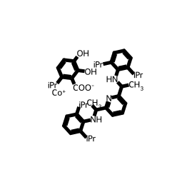 CC(C)c1ccc(O)c(O)c1C(=O)[O-].CC(C)c1cccc(C(C)C)c1NC(C)c1cccc(C(C)Nc2c(C(C)C)cccc2C(C)C)n1.[Co+]